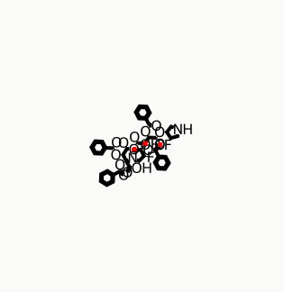 O=C(O[C@H](C(=O)OC(=O)[C@@H](OC(=O)c1ccccc1)[C@](OC(=O)c1ccccc1)(C(=O)O)N1C[C@@H](O)[C@H](F)C1)[C@H](OC(=O)c1ccccc1)C(=O)O[C@@H]1CNC[C@H]1F)c1ccccc1